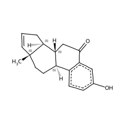 C[C@@]12C=CC[C@H]1[C@@H]1CC(=O)c3cc(O)ccc3[C@H]1CC2